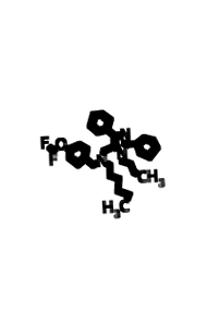 CCCCCCN(Cc1ccc(OC(F)F)cc1)Cc1c(-c2ccccc2)nc(-c2ccccc2)n1CCCC